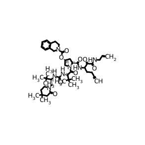 C#CCCC(NC(=O)[C@@H]1C[C@@H](OC(=O)N2CCc3ccccc3C2)CN1C(=O)[C@@H](NC(=O)N[C@H](CN1CCC(C)(C)CC1=O)C(C)(C)C)C(C)(C)C)C(=O)C(=O)NCC=C